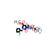 COC(=O)c1cn(Cc2ccccc2F)c(=O)c2c1SC[C@@H]2NC(=O)OC(C)(C)C